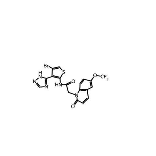 O=C(Cn1c(=O)ccc2cc(OC(F)(F)F)ccc21)Nc1scc(Br)c1-c1ncn[nH]1